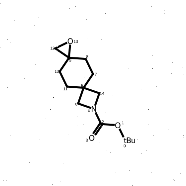 CC(C)(C)OC(=O)N1CC2(CCC3(CC2)CO3)C1